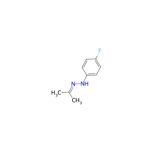 CC(C)=NNc1ccc(F)cc1